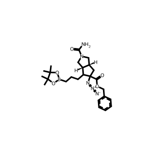 CC1(C)OB(CCCC2[C@@H]3CN(C(N)=O)C[C@@H]3CC2(N=[N+]=[N-])C(=O)OCc2ccccc2)OC1(C)C